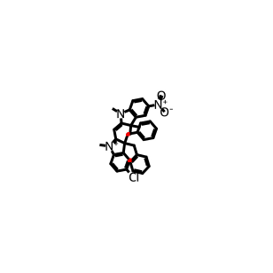 CN1/C(=C/C2=[N+](C)c3ccc(Cl)cc3C2(Cc2ccccc2)Cc2ccccc2)C(C)(C)c2cc([N+](=O)[O-])ccc21